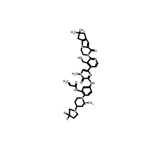 C=CC(=O)Nc1cc(Nc2nc(-c3ccnc(N4CCn5c(cc6c5CC(C)(C)C6)C4=O)c3CO)cn(C)c2=O)ccc1N1CCC(N2CCC(F)(F)C2)C[C@@H]1C